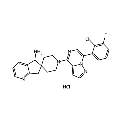 Cl.N[C@@H]1c2cccnc2CC12CCN(c1ncc(-c3cccc(F)c3Cl)n3nccc13)CC2